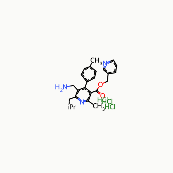 Cc1ccc(-c2c(CN)c(CC(C)C)nc(C)c2C(=O)OCc2cccnc2)cc1.Cl.Cl.Cl